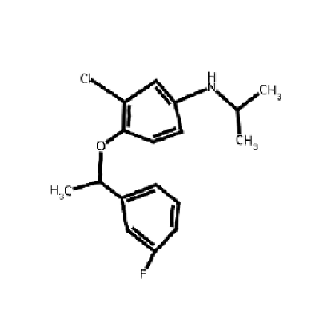 CC(C)Nc1ccc(OC(C)c2cccc(F)c2)c(Cl)c1